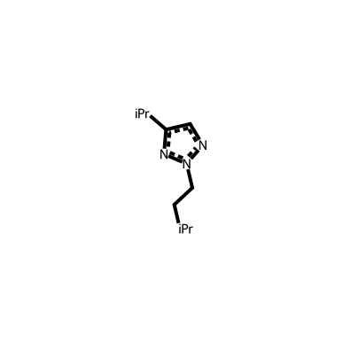 CC(C)CCn1ncc(C(C)C)n1